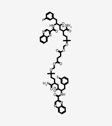 CC(C)(CCC(CC(O)C(Cc1cccc(F)c1)NC(=O)c1cnc2ccccc2n1)C(N)=O)OCOC(=O)CCC(=O)OCOC(C)(C)CCC(CC(O)C(Cc1cccc(F)c1)NC(=O)c1cnc2ccccc2n1)C(N)=O